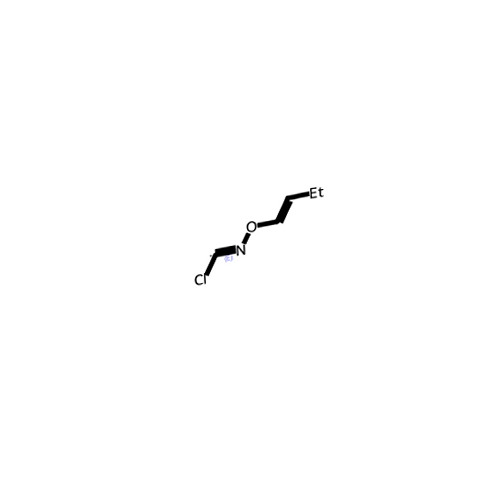 CCC=CO/N=[C]/Cl